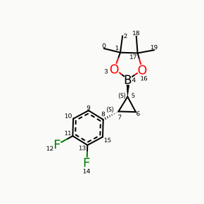 CC1(C)OB([C@H]2C[C@@H]2c2ccc(F)c(F)c2)OC1(C)C